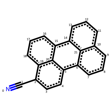 N#Cc1ccc2c3cccc4cccc(c5cccc1c52)c43